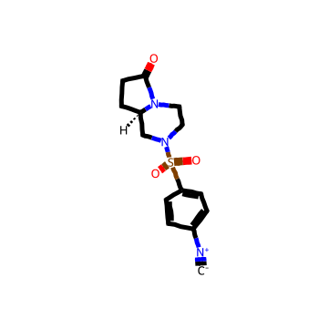 [C-]#[N+]c1ccc(S(=O)(=O)N2CCN3C(=O)CC[C@@H]3C2)cc1